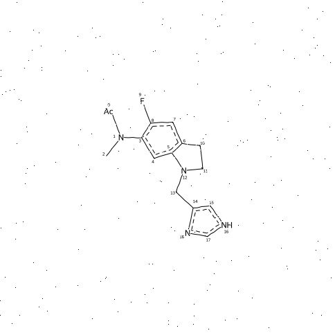 CC(=O)N(C)c1cc2c(cc1F)CCN2Cc1c[nH]cn1